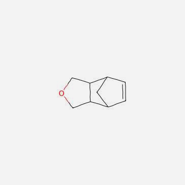 C1=CC2CC1C1COCC21